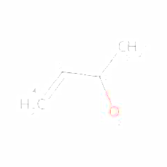 [CH2]C([O])C=C